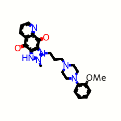 COc1ccccc1N1CCN(CCCn2c3c(=O)c4ncccc4c(=O)c=3[nH]n2C)CC1